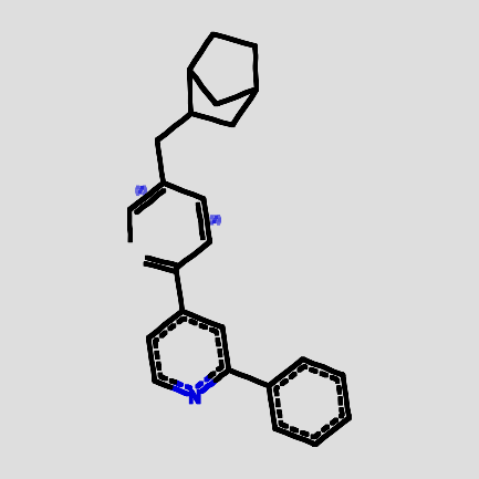 C=C(/C=C\C(=C/C)CC1CC2CCC1C2)c1ccnc(-c2ccccc2)c1